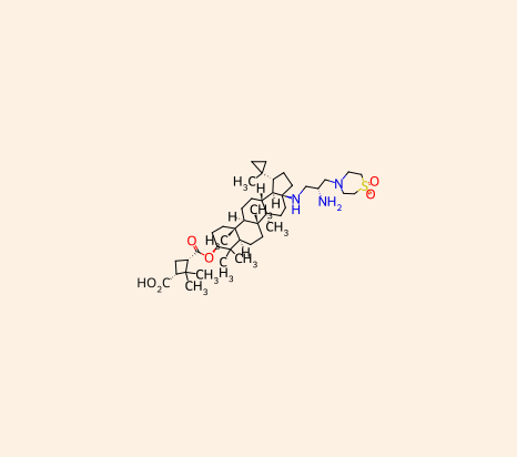 CC1([C@@H]2CC[C@]3(NC[C@@H](N)CN4CCS(=O)(=O)CC4)CC[C@]4(C)[C@H](CC[C@@H]5[C@@]6(C)CC[C@H](OC(=O)[C@H]7C[C@@H](C(=O)O)C7(C)C)C(C)(C)[C@@H]6CC[C@]54C)[C@@H]23)CC1